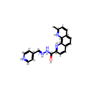 Cc1ccc2ccc3ccc(C(=O)N/N=C/c4ccncc4)nc3c2n1